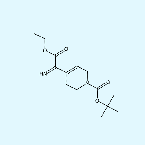 CCOC(=O)C(=N)C1=CCN(C(=O)OC(C)(C)C)CC1